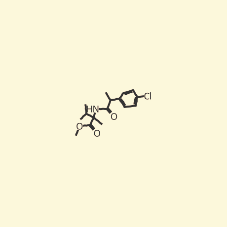 COC(=O)C(C)(NC(=O)C(C)c1ccc(Cl)cc1)C(C)C